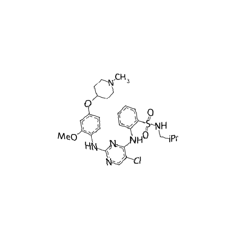 COc1cc(OC2CCN(C)CC2)ccc1Nc1ncc(Cl)c(Nc2ccccc2S(=O)(=O)NCC(C)C)n1